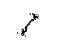 NC(N)=Nc1nc(-c2cccc(N3CCN(CCOCCOCCOCCN4CCN(c5cccc(-c6nc(N=C(N)N)nc7ccc(Cl)cc67)c5)CC4)CC3)c2)c2cc(Cl)ccc2n1